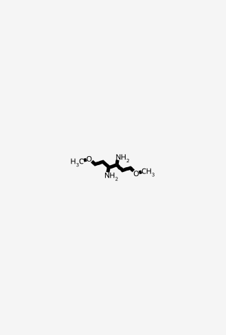 COCCC(N)C(N)CCOC